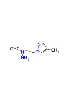 Cc1cnn(CCN(N)C=O)c1